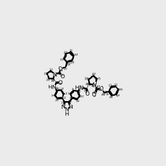 O=C(Nc1ccc(-c2n[nH]nc2-c2ccc(NC(=O)[C@@H]3CCCN3C(=O)OCc3ccccc3)cc2)cc1)[C@@H]1CCCN1C(=O)OCc1ccccc1